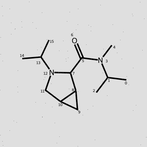 CC(C)N(C)C(=O)C1C2CC2CN1C(C)C